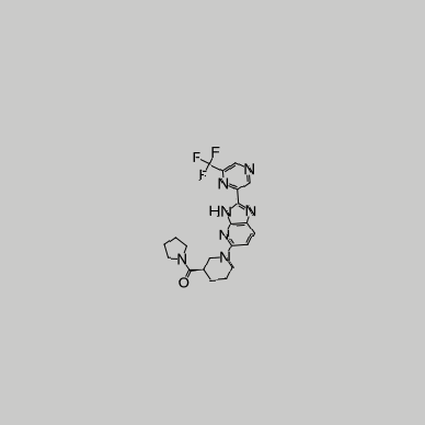 O=C([C@@H]1CCCN(c2ccc3nc(-c4cncc(C(F)(F)F)n4)[nH]c3n2)C1)N1CCCC1